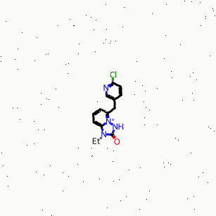 CCn1c(=O)[nH][n+]2c(Cc3ccc(Cl)nc3)cccc12